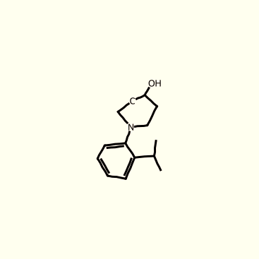 CC(C)c1ccccc1N1CCC(O)CC1